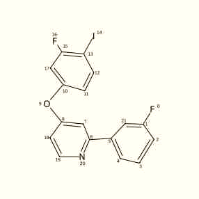 Fc1cccc(-c2cc(Oc3ccc(I)c(F)c3)ccn2)c1